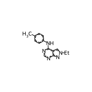 CCn1cc2c(Nc3ccc(C)cc3)ncnc2n1